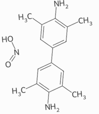 Cc1cc(-c2cc(C)c(N)c(C)c2)cc(C)c1N.O=NO